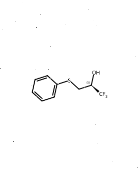 O[C@H](CSc1ccccc1)C(F)(F)F